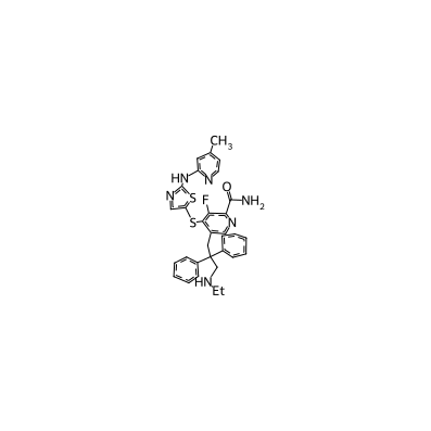 CCNCC(Cc1cnc(C(N)=O)c(F)c1Sc1cnc(Nc2cc(C)ccn2)s1)(c1ccccc1)c1ccccc1